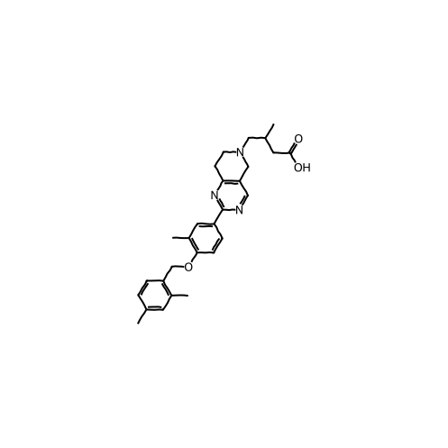 Cc1ccc(COc2ccc(-c3ncc4c(n3)CCN(CC(C)CC(=O)O)C4)cc2C)c(C)c1